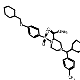 COC(=O)C1CN(C(c2ccc(C(F)(F)F)cc2)C2CCCCC2)CCN1S(=O)(=O)c1ccc(OCC2CCCCC2)cc1